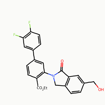 CCOC(=O)c1ccc(-c2ccc(F)c(F)c2)cc1N1Cc2ccc(CO)cc2C1=O